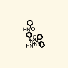 N=C1NC(c2ccccc2)(c2ccccc2)C(=O)N1Cc1ccc(NC(=O)C2CCCCC2)cc1